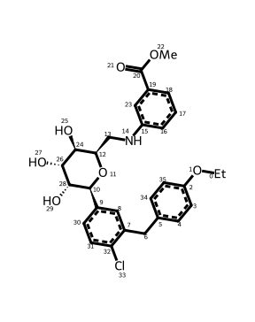 CCOc1ccc(Cc2cc([C@@H]3O[C@H](CNc4cccc(C(=O)OC)c4)[C@H](O)[C@@H](O)[C@H]3O)ccc2Cl)cc1